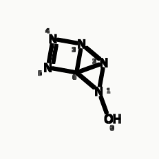 ON1N2N3N=NC132